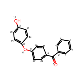 O=C(c1ccccc1)c1ccc(Oc2ccc(O)cc2)cc1